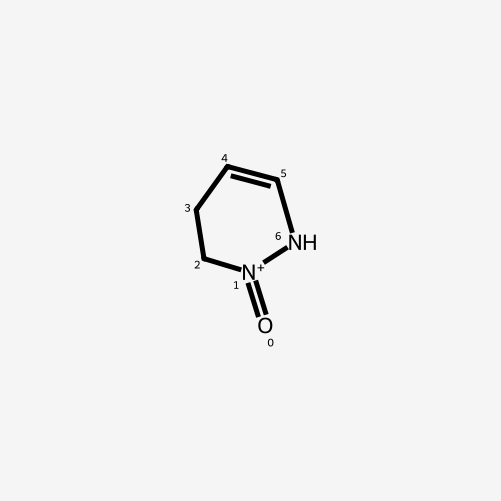 O=[N+]1CCC=CN1